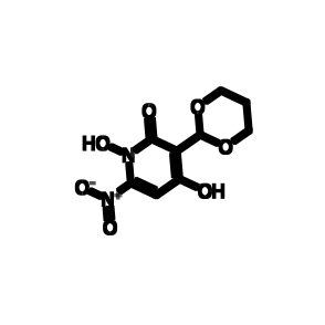 O=c1c(C2OCCCO2)c(O)cc([N+](=O)[O-])n1O